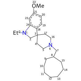 CCN1CC2(CCN(CC3CCCCCCC3)CC2)c2ccc(OC)cc21